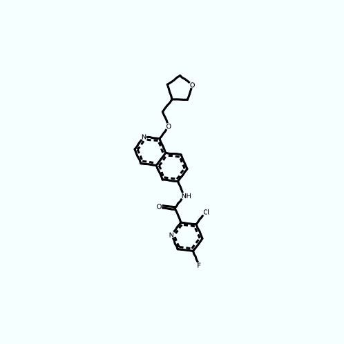 O=C(Nc1ccc2c(OCC3CCOC3)nccc2c1)c1ncc(F)cc1Cl